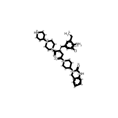 CCc1cc(C[C@@H](CC(=O)N2CCC(N3Cc4ccccc4NC3=O)CC2)C(=O)N2CCN(C3CCNCC3)CC2)cc(Cl)c1N